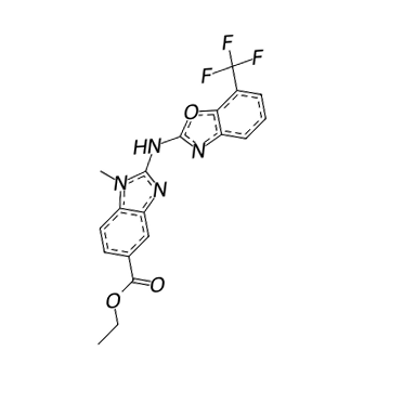 CCOC(=O)c1ccc2c(c1)nc(Nc1nc3cccc(C(F)(F)F)c3o1)n2C